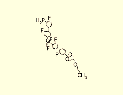 CCCCOCC1COC(c2ccc(-c3cc(F)c(C(F)(F)Oc4ccc(-c5ccc(F)c(P)c5)c(F)c4)c(F)c3)c(F)c2)OC1